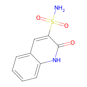 NS(=O)(=O)c1cc2ccccc2[nH]c1=O